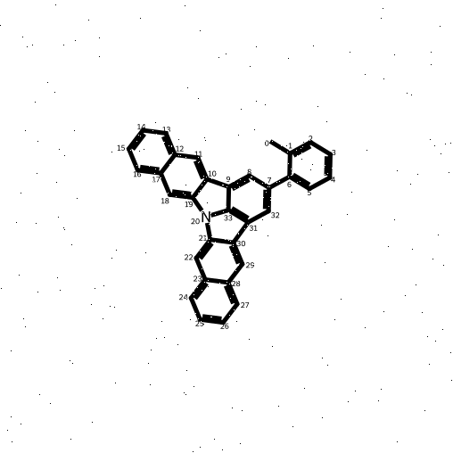 Cc1ccccc1-c1cc2c3cc4ccccc4cc3n3c4cc5ccccc5cc4c(c1)c23